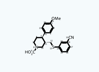 COc1ccc([C@@H]2CCN(C(=O)O)C[C@H]2CSc2cccc(C#N)c2)cc1